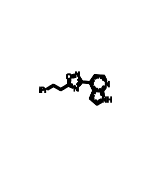 CC(C)CCc1nc(-c2ccnc3[nH]ccc23)no1